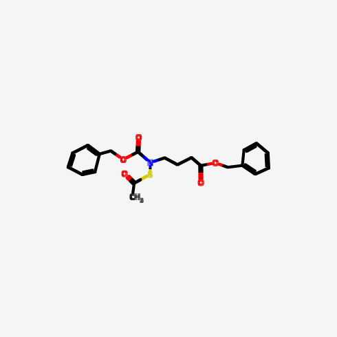 CC(=O)SN(CCCC(=O)OCc1ccccc1)C(=O)OCc1ccccc1